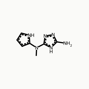 CN(c1ccc[nH]1)c1nnc(N)[nH]1